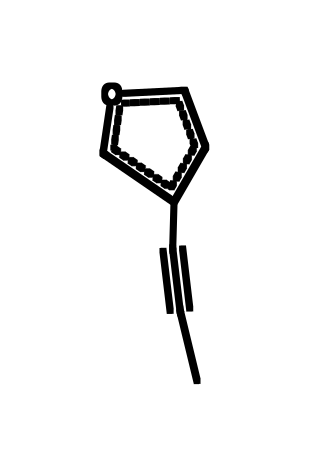 CC#Cc1ccoc1